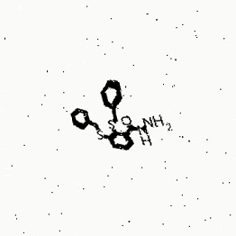 NNC(=O)c1cccc(SCc2ccccc2)c1SCc1ccccc1